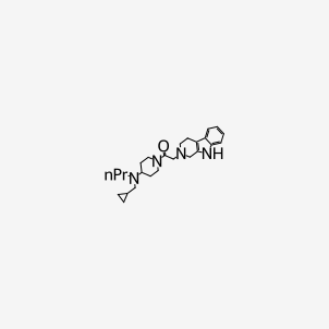 CCCN(CC1CC1)C1CCN(C(=O)CN2CCc3c([nH]c4ccccc34)C2)CC1